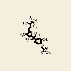 CCC(CC)(c1ccc(OCS(C)(=O)=O)c(C)c1)c1cc(C)c(CCC(O)C(C)(C)C)s1